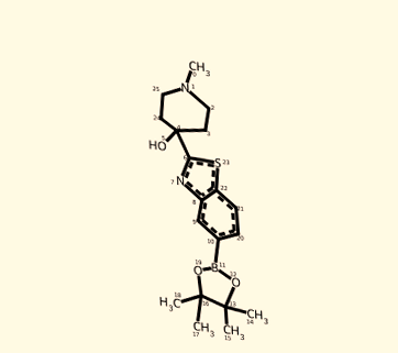 CN1CCC(O)(c2nc3cc(B4OC(C)(C)C(C)(C)O4)ccc3s2)CC1